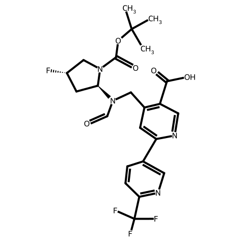 CC(C)(C)OC(=O)N1C[C@@H](F)C[C@@H]1N(C=O)Cc1cc(-c2ccc(C(F)(F)F)nc2)ncc1C(=O)O